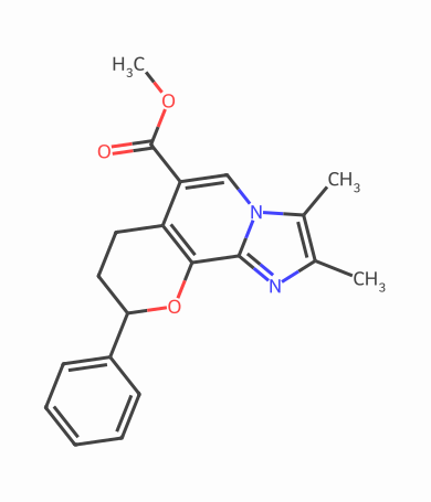 COC(=O)c1cn2c(C)c(C)nc2c2c1CCC(c1ccccc1)O2